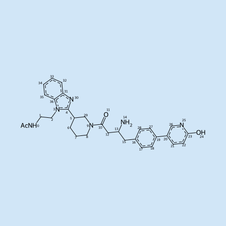 CC(=O)NCCn1c(C2CCCN(C(=O)CC(N)Cc3ccc(-c4ccc(O)nc4)cc3)C2)nc2ccccc21